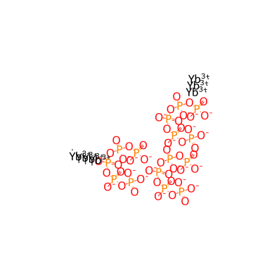 O=P([O-])([O-])OP(=O)([O-])OP(=O)([O-])OP(=O)([O-])OP(=O)([O-])[O-].O=P([O-])([O-])OP(=O)([O-])OP(=O)([O-])OP(=O)([O-])OP(=O)([O-])[O-].O=P([O-])([O-])OP(=O)([O-])OP(=O)([O-])OP(=O)([O-])OP(=O)([O-])[O-].[Yb+3].[Yb+3].[Yb+3].[Yb+3].[Yb+3].[Yb+3].[Yb+3]